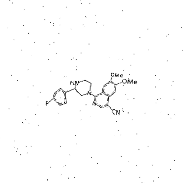 COc1cc2c(C#N)cnc(N3CCNC(c4ccc(F)cc4)C3)c2cc1OC